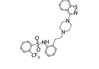 O=S(=O)(Nc1ccccc1CCN1CCN(c2nsc3ccccc23)CC1)c1ccccc1C(F)(F)F